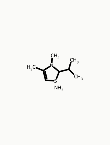 CC1=CSC(C(C)C)N1C.N